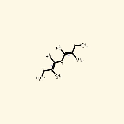 CC/C(C)=C(\O)O/C(O)=C(\C)CC